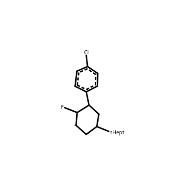 CCCCCCCC1C[CH]C(F)C(c2ccc(Cl)cc2)C1